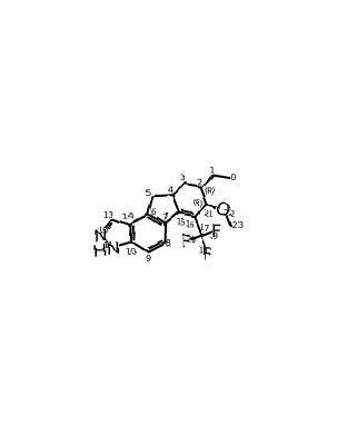 CC[C@@H]1CC2Cc3c(ccc4[nH]ncc34)C2=C(C(F)(F)F)[C@@H]1OC